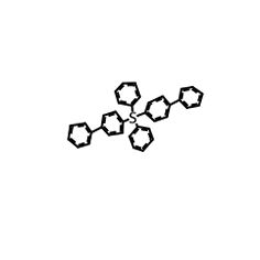 c1ccc(-c2ccc(S(c3ccccc3)(c3ccccc3)c3ccc(-c4ccccc4)cc3)cc2)cc1